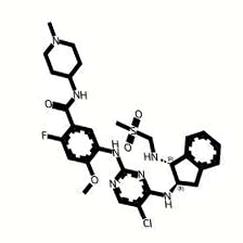 COc1cc(F)c(C(=O)NC2CCN(C)CC2)cc1Nc1ncc(Cl)c(N[C@@H]2Cc3ccccc3[C@H]2NCS(C)(=O)=O)n1